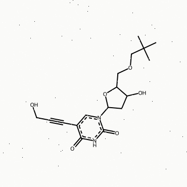 CC(C)(C)COCC1OC(n2cc(C#CCO)c(=O)[nH]c2=O)CC1O